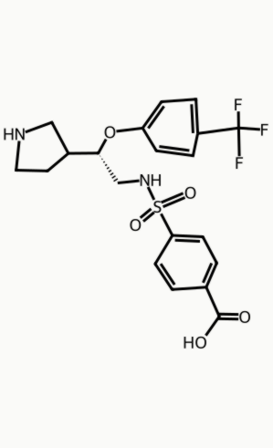 O=C(O)c1ccc(S(=O)(=O)NC[C@@H](Oc2ccc(C(F)(F)F)cc2)C2CCNC2)cc1